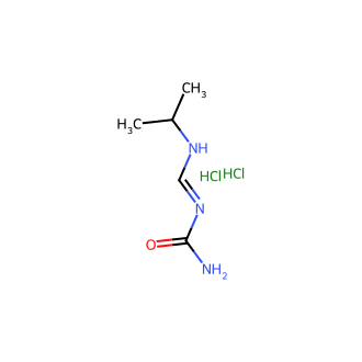 CC(C)NC=NC(N)=O.Cl.Cl